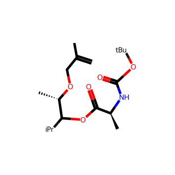 C=C(C)CO[C@@H](C)C(OC(=O)[C@H](C)NC(=O)OC(C)(C)C)C(C)C